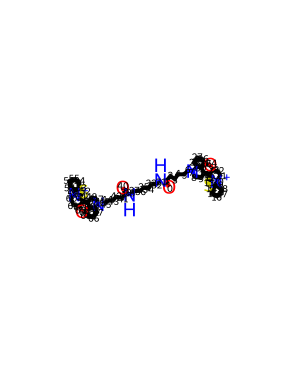 O=C(CCCCCN1C=CC2=C3c4sc5ccccc5[n+]4CCC3Oc3cccc1c32)NCCCCCCNC(=O)CCCCCN1C=CC2=C3c4sc5ccccc5[n+]4CCC3Oc3cccc1c32